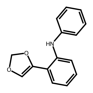 C1=C(c2ccccc2Nc2ccccc2)OCO1